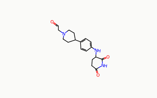 O=CCN1CCC(c2ccc(NC3CCC(=O)NC3=O)cc2)CC1